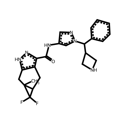 CC12Cc3[nH]nc(C(=O)Nc4cnn(C(c5ccccc5)C5CNC5)c4)c3CC1C2(F)F